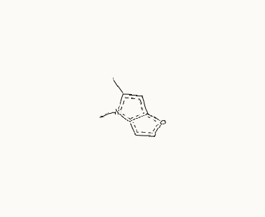 Cc1cc2occc2n1C